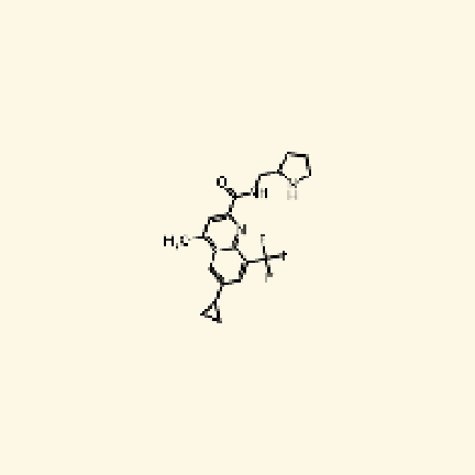 Cc1cc(C(=O)NC[C@H]2CCCN2)nc2c(C(F)(F)F)cc(C3CC3)cc12